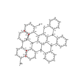 CC(C)c1ccc(-c2ccccc2N2c3ccccc3B3c4ccccc4N4c5ccccc5B5c6ccccc6Sc6c5c4c3c2c6-c2c(F)cccc2F)cc1